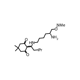 CNOC[C@@H](N)CCCCNC(CC(C)C)=C1C(=O)CC(C)(C)CC1=O